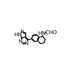 O=CNC1CCCc2cc(-c3ncnc4[nH]ncc34)ccc21